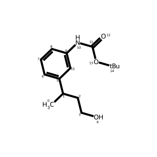 CC(CCO)c1cccc(NC(=O)OC(C)(C)C)c1